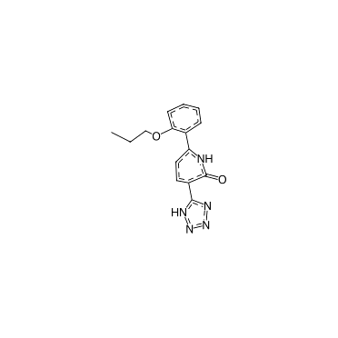 CCCOc1ccccc1-c1ccc(-c2nnn[nH]2)c(=O)[nH]1